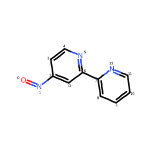 O=Nc1ccnc(-c2ccccn2)c1